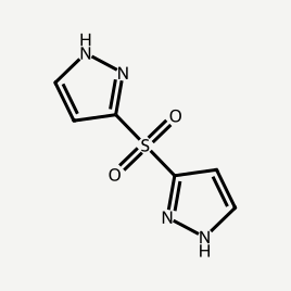 O=S(=O)(c1cc[nH]n1)c1cc[nH]n1